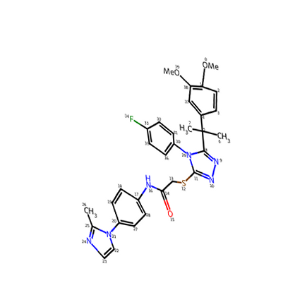 COc1ccc(C(C)(C)c2nnc(SCC(=O)Nc3ccc(-n4ccnc4C)cc3)n2-c2ccc(F)cc2)cc1OC